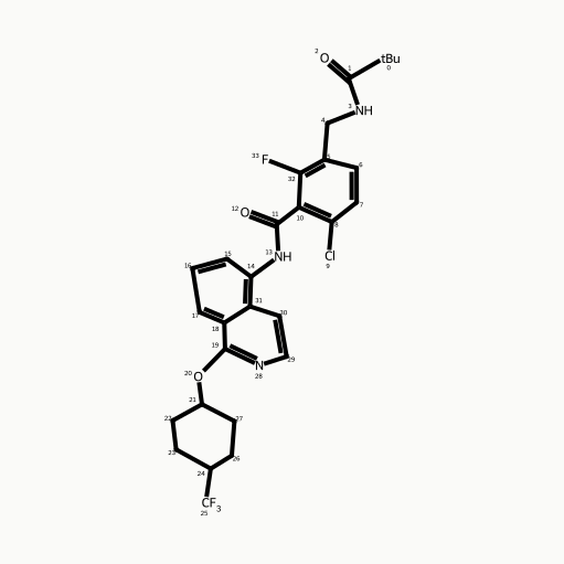 CC(C)(C)C(=O)NCc1ccc(Cl)c(C(=O)Nc2cccc3c(OC4CCC(C(F)(F)F)CC4)nccc23)c1F